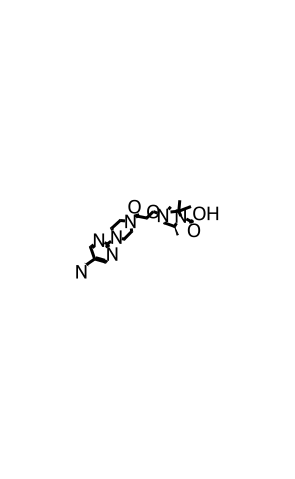 C[C@@H](CN(C)OCC(=O)N1CCN(c2ncc(C#N)cn2)CC1)N(C(=O)O)C(C)(C)C